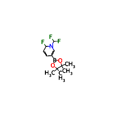 CC1(C)OB(C2=CN(C(F)F)C(F)C=C2)OC1(C)C